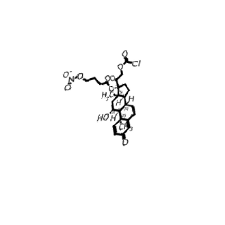 C[C@]12C=CC(=O)C=C1CC[C@@H]1[C@@H]2[C@@H](O)C[C@@]2(C)[C@H]1CC[C@]2(OC(=O)CCCO[N+](=O)[O-])C(=O)COC(=O)Cl